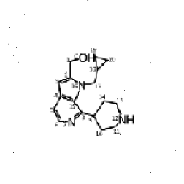 OCc1cc2ccnc(C3CCNCC3)c2n1CC1CC1